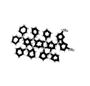 CC(C)(C)c1ccc2c(c1)c1cc(C(C)(C)C)ccc1n2-c1cc2c3c(c1)N(c1ccccc1)c1cc4c(cc1B3c1ccccc1N2c1ccccc1)B1c2ccccc2N(c2ccccc2)c2cc(N(C3CCCCC3)C3CCCCC3)cc(c21)N4c1ccccc1